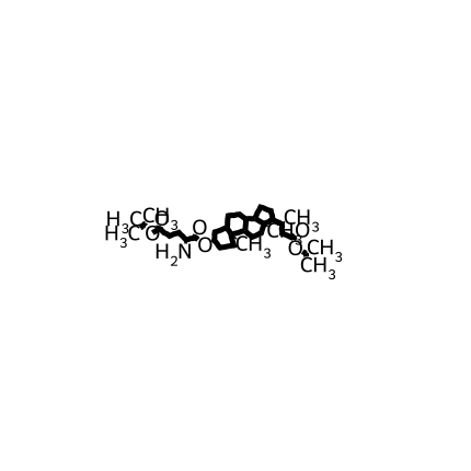 CC(C)OC(=O)C[C@@H](C)C1CCC2C3CCC4C[C@H](OC(=O)[C@@H](N)CCC(=O)OC(C)(C)C)CC[C@]4(C)C3CC[C@@]21C